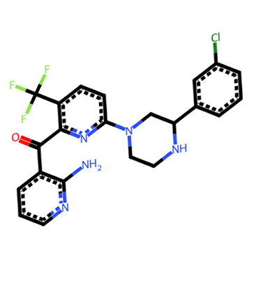 Nc1ncccc1C(=O)c1nc(N2CCNC(c3cccc(Cl)c3)C2)ccc1C(F)(F)F